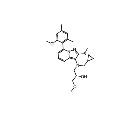 COCC(O)CN(CC1CC1)c1c(SC)nn2c(-c3c(C)cc(C)cc3OC)cccc12